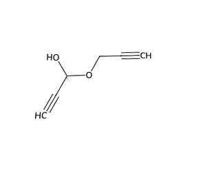 C#CCO[C](O)C#C